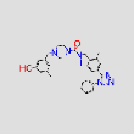 Cc1cc(O)cc(CN2CCN(C(=O)NCc3ccc(-c4nnc(C)n4-c4ccccc4)cc3C)CC2)c1